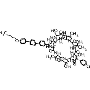 CCCCCOc1ccc(-c2ccc(-c3ccc(C(=O)N[C@H]4C[C@@H](O)C(NC(CO)CO)NC(=O)C5[C@@H](O)[C@@H](C)CN5C(=O)C([C@@H](C)O)NC(=O)C([C@H](O)[C@@H](N=O)c5ccc(O)cc5)NC(=O)C5C[C@@H](O)CN5C(=O)C([C@@H](C)O)NC4=O)cc3)cc2)cc1